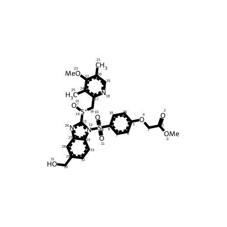 COC(=O)COc1ccc(S(=O)(=O)n2c([S+]([O-])Cc3ncc(C)c(OC)c3C)nc3cc(CO)ccc32)cc1